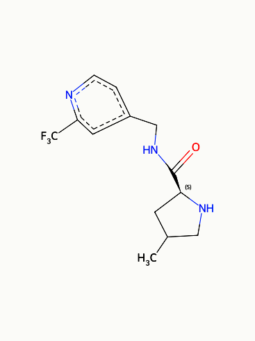 CC1CN[C@H](C(=O)NCc2ccnc(C(F)(F)F)c2)C1